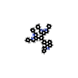 CC1(C)c2ccccc2-c2nc3ccc4ccccc4c3c(-c3ccc(-c4cc(-c5cc6ccc(-c7ccccc7)nc6c6nc(-c7ccccc7)ccc56)cc(-c5cc6ccc(-c7ccccc7)nc6c6nc(-c7ccccc7)ccc56)c4)cc3)c21